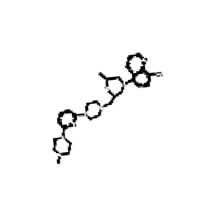 CC1CN(c2ccc(C#N)c3ncccc23)CC(CN2CCN(c3cccc(N4CCN(C)CC4)n3)CC2)O1